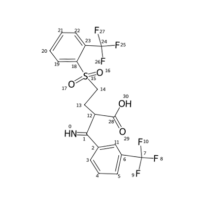 N=C(c1cccc(C(F)(F)F)c1)C(CCS(=O)(=O)c1ccccc1C(F)(F)F)C(=O)O